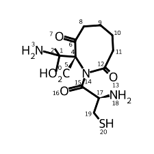 CC(C)(N)[C@]1(C(=O)O)C(=O)CCCCC(=O)N1C(=O)[C@@H](N)CS